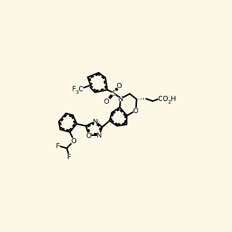 O=C(O)CC[C@H]1CN(S(=O)(=O)c2cccc(C(F)(F)F)c2)c2cc(-c3noc(-c4ccccc4OC(F)F)n3)ccc2O1